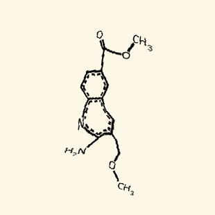 COCc1cc2cc(C(=O)OC)ccc2nc1N